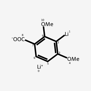 [Li+].[Li][c]1c(OC)ccc(C(=O)[O-])c1OC